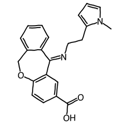 Cn1cccc1CC/N=C1\c2ccccc2COc2ccc(C(=O)O)cc21